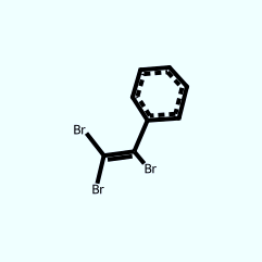 BrC(Br)=C(Br)c1ccccc1